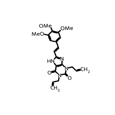 C=CCn1c(=O)c2[nH]c(C=Cc3cc(OC)c(OC)c(OC)c3)nc2n(CC=C)c1=O